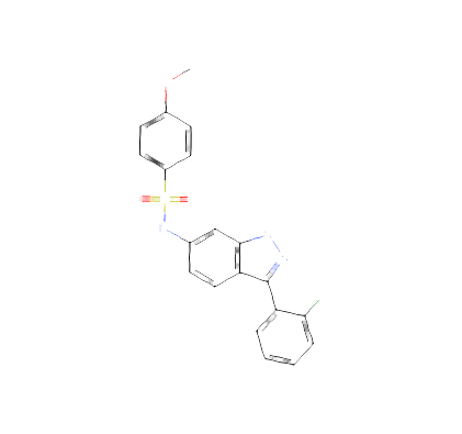 COc1ccc(S(=O)(=O)Nc2ccc3c(-c4ccccc4Cl)n[nH]c3c2)cc1